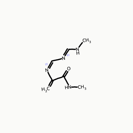 C=C(/N=C\N=C\NC)C(=O)NC